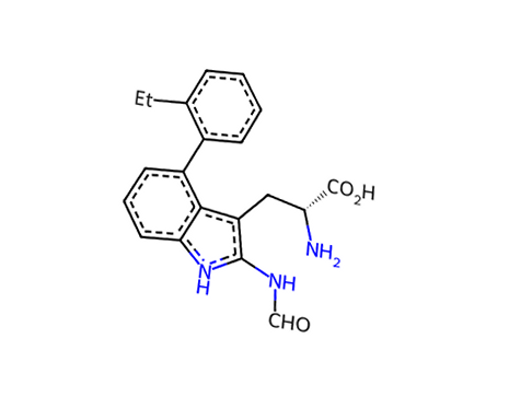 CCc1ccccc1-c1cccc2[nH]c(NC=O)c(C[C@@H](N)C(=O)O)c12